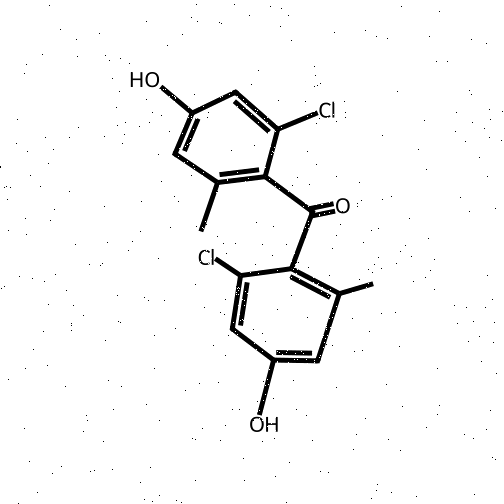 Cc1cc(O)cc(Cl)c1C(=O)c1c(C)cc(O)cc1Cl